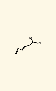 C=CC=CCC(O)O